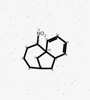 O=[N+]([O-])C1CCCC2CC3C=CC=CC31C2